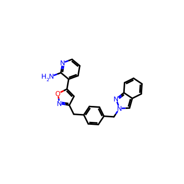 Nc1ncccc1-c1cc(Cc2ccc(Cn3cc4ccccc4n3)cc2)no1